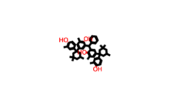 Cc1cc(C2(c3cc(C)c(O)c(C(c4ccccc4)c4cc(C5(c6ccc(O)c(C)c6)CC(C)CC(C)(C)C5)cc(C)c4O)c3)CC(C)CC(C)(C)C2)ccc1O